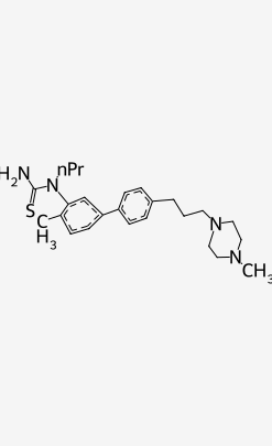 CCCN(C(N)=S)c1cc(-c2ccc(CCCN3CCN(C)CC3)cc2)ccc1C